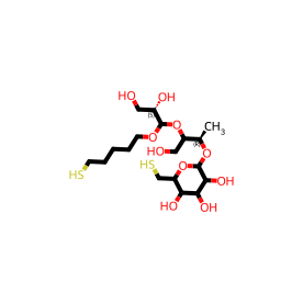 C[C@@H](OC1OC(CS)C(O)C(O)C1O)C(CO)OC(OCCCCCS)[C@@H](O)CO